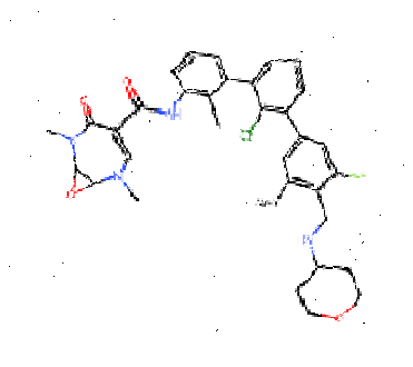 COc1cc(-c2cccc(-c3cccc(NC(=O)C4=CN(C)C5OC5N(C)C4=O)c3C)c2Cl)cc(F)c1CNC1CCOCC1